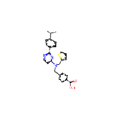 CC(C)c1ccc(-c2nccc(N(Cc3ccc(C(=O)O)cc3)Cc3cccs3)n2)cc1